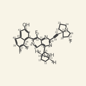 Oc1cc(-c2ncc3c(N4C[C@H]5CC[C@@H]4CN5)nc(C#C[C@@]45CCCN4C[C@H](F)C5)nc3c2F)c2c(F)c(F)ccc2c1